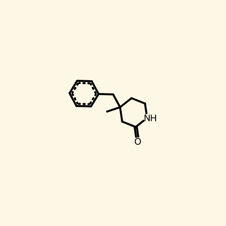 CC1(Cc2ccccc2)CCNC(=O)C1